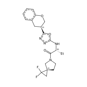 CC[C@@H](Nc1nnc([C@@H]2COc3ccccc3C2)o1)C(=O)N1CC[C@@]2(C1)CC2(F)F